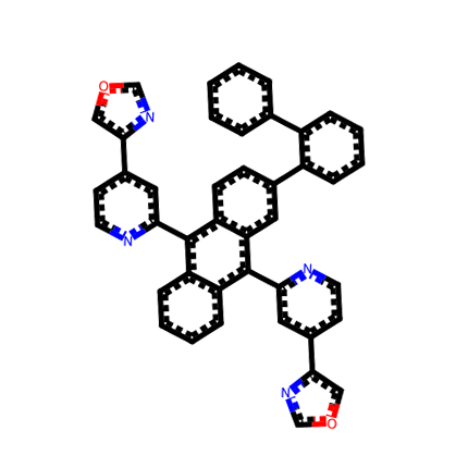 c1ccc(-c2ccccc2-c2ccc3c(-c4cc(-c5cocn5)ccn4)c4ccccc4c(-c4cc(-c5cocn5)ccn4)c3c2)cc1